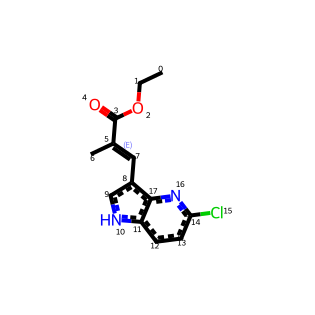 CCOC(=O)/C(C)=C/c1c[nH]c2ccc(Cl)nc12